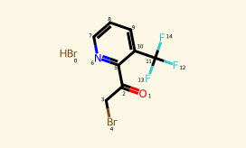 Br.O=C(CBr)c1ncccc1C(F)(F)F